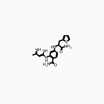 CC(=N)/C=C(\S)Nc1cc(NC(Cc2cccs2)C(N)=O)ccc1C(N)=O